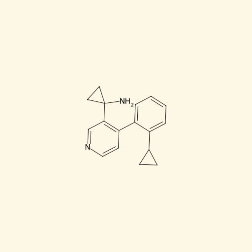 NC1(c2cnccc2-c2ccccc2C2CC2)CC1